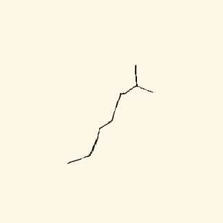 CC(F)CCCC[O]